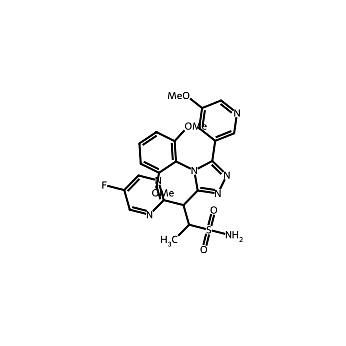 COc1cncc(-c2nnc(C(c3ncc(F)cn3)C(C)S(N)(=O)=O)n2-c2c(OC)cccc2OC)c1